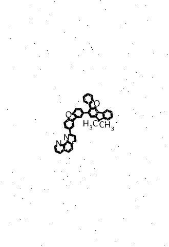 CC1(C)c2ccccc2-c2c1cc(-c1ccc3oc4ccc(-c5ccc6ccc7cccnc7c6n5)cc4c3c1)c1c2oc2ccccc21